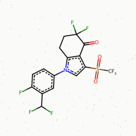 O=C1c2c(S(=O)(=O)C(F)(F)F)cn(-c3ccc(F)c(C(F)F)c3)c2CCC1(F)F